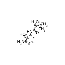 CC(C)(C)OC(=O)NC1CCCC(N)[C@@H]1O